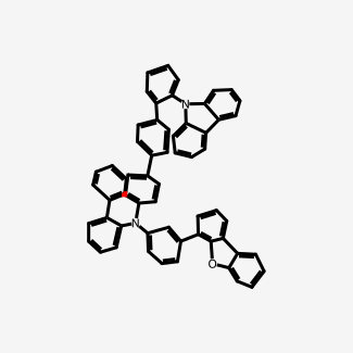 c1ccc(-c2ccccc2N(c2ccc(-c3ccc(-c4ccccc4-n4c5ccccc5c5ccccc54)cc3)cc2)c2cccc(-c3cccc4c3oc3ccccc34)c2)cc1